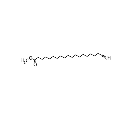 C#CCCCCCCCCCCCCCCCCCC(=O)OC